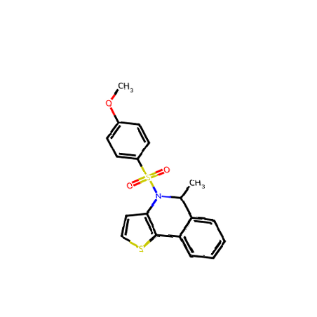 COc1ccc(S(=O)(=O)N2c3ccsc3-c3ccccc3C2C)cc1